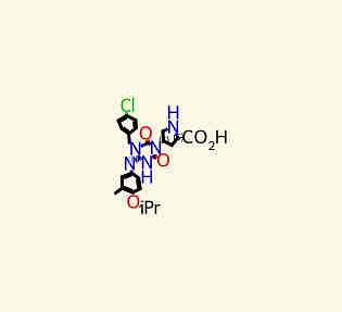 Cc1cc(/N=c2\[nH]c(=O)n([C@@H]3CN[C@H](C(=O)O)C3)c(=O)n2Cc2ccc(Cl)cc2)ccc1OC(C)C